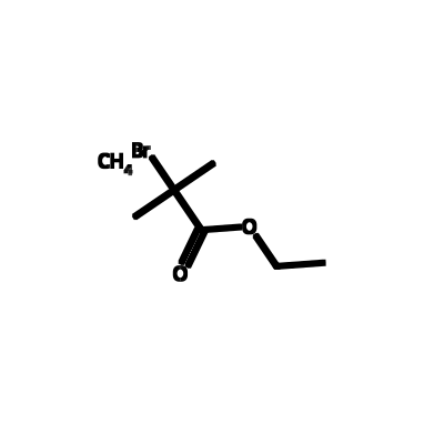 C.CCOC(=O)C(C)(C)Br